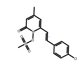 Cc1cc(/C=C/c2ccc(Cl)cc2)n(OS(C)(=O)=O)c(=O)c1